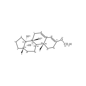 C[C@@]12CCC[C@H]1[C@@H]1CC=C3C=C(OC(=O)O)CC[C@]3(C)[C@H]1CC2